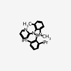 Cc1cccc2c1N(c1ccccn1)B(c1c(C(C)C)cccc1C(C)C)N2C